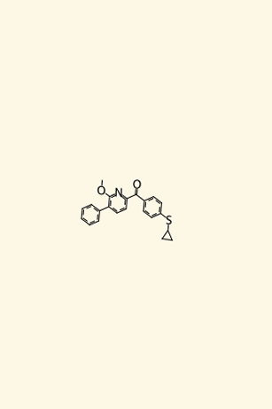 COc1nc(C(=O)c2ccc(SC3CC3)cc2)ccc1-c1ccccc1